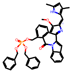 COC1=CC(c2cc3ccccc3n2C(=O)c2ccccc2COP(=O)(OCc2ccccc2)OCc2ccccc2)=N/C1=C/c1[nH]c(C)cc1C